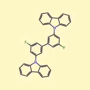 Fc1cc(-c2cc(F)cc(-n3c4ccccc4c4ccccc43)c2)cc(-n2c3ccccc3c3ccccc32)c1